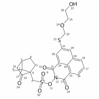 CC1(C)C2CCC1(CS(=O)(=O)ON1C(=O)c3cccc4cc(SCOCCO)cc(c34)C1=O)C(=O)C2